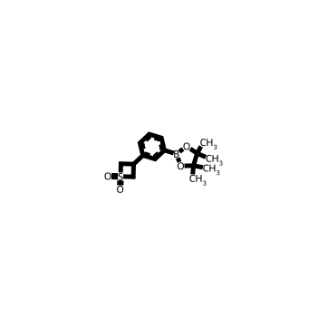 CC1(C)OB(c2cccc(C3CS(=O)(=O)C3)c2)OC1(C)C